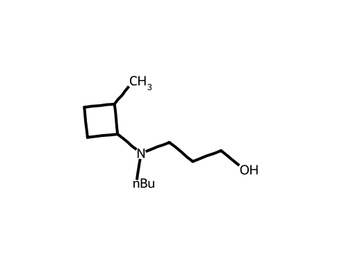 CCCCN(CCCO)C1CCC1C